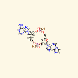 Nc1ncnc2c1ncn2[C@@H]1C[C@@H]2COP(=O)(S)O[C@@H]3C[C@@H](COP(=O)(S)OC[C@H]21)O[C@H]3n1cnc2c1ncn1ccnc21